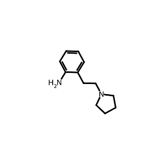 Nc1ccccc1CCN1CCCC1